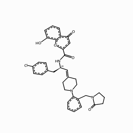 O=C(N[C@@H](C=C1CCN(c2ccccc2CN2CCCC2=O)CC1)Cc1ccc(Cl)cc1)c1cc(=O)c2cccc(O)c2o1